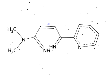 CN(C)C(=N)/C=C\C(=N)c1ccccn1